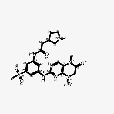 CC(C)N1CC(=O)N(C)c2cnc(Nc3cc(NC(=O)CC4CCNC4)cc(S(C)(=O)=O)c3)nc21